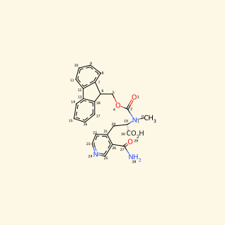 CN(C(=O)OCC1c2ccccc2-c2ccccc21)[C@@H](Cc1ccncc1C(N)=O)C(=O)O